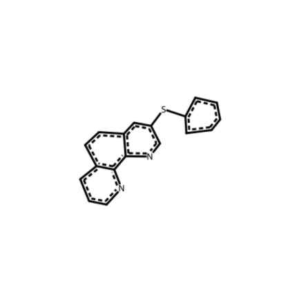 c1ccc(Sc2cnc3c(ccc4cccnc43)c2)cc1